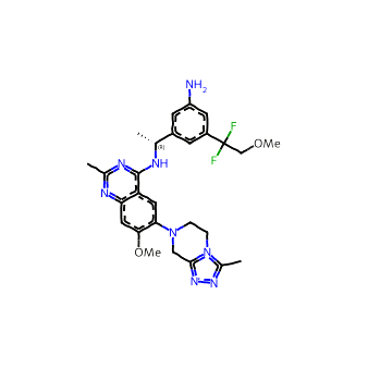 COCC(F)(F)c1cc(N)cc([C@@H](C)Nc2nc(C)nc3cc(OC)c(N4CCn5c(C)nnc5C4)cc23)c1